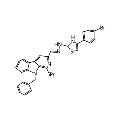 CC(C)c1nc(/C=N/NC2NC(c3ccc(Br)cc3)=CS2)cc2c3ccccc3n(Cc3ccccc3)c12